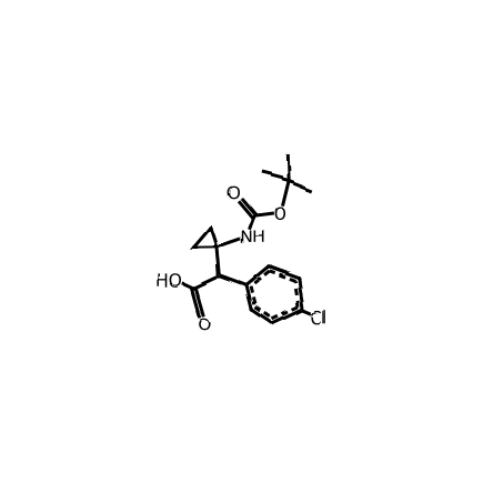 CC(C)(C)OC(=O)NC1(C(C(=O)O)c2ccc(Cl)cc2)CC1